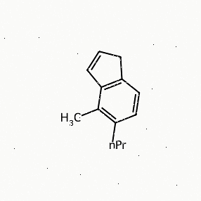 CCCc1ccc2c(c1C)C=CC2